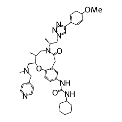 COC1C=CC(c2cn(C[C@H](C)N3CC(C)[C@H](CN(C)Cc4ccncc4)Oc4ccc(NC(=O)NC5CCCCC5)cc4CC3=O)nn2)=CC1